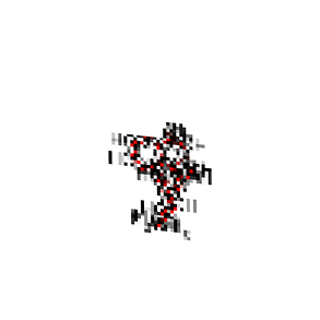 CC(C)C(C)(C)Oc1cc(O)cc(Oc2cc(O)cc(Oc3cc4cc(c3)Oc3cc(cc(OC(O)OCO)c3)Oc3cc(cc(Oc5cc6cc(c5)OC(O)OC(O)Oc5cc7cc(c5)oc5cc(cc(c5)oc5cc8cc(c5)oc5cc(cc(c5)oc5cc(OC(O)O)cc(c5)oc5cc(O)cc(c5)o7)Oc5cccc(c5)Oc5cc(O)cc(c5)Oc5cc(O)cc(c5)Oc5cccc(c5)OC(O)O8)O6)c3)O4)c2)c1